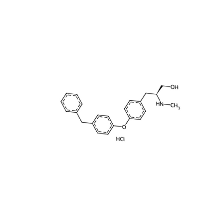 CN[C@H](CO)Cc1ccc(Oc2ccc(Cc3ccccc3)cc2)cc1.Cl